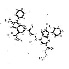 CCOC(=O)c1cc(C(C)COC(=O)c2cc(C(C)C)n3nc(C)c(-c4ccccc4)c3n2)n2nc(C)c(-c3ccccc3)c2n1